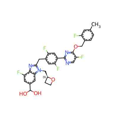 Cc1ccc(COc2nc(-c3cc(F)c(Cc4nc5c(F)cc(C(O)O)cc5n4C[C@@H]4CCO4)cc3F)ncc2F)c(F)c1